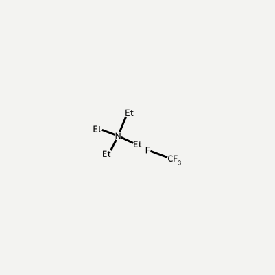 CC[N+](CC)(CC)CC.FC(F)(F)F